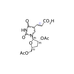 CC(=O)OC[C@@H]1C[C@@H](OC(C)=O)[C@H](n2cc(/C=C/C(=O)O)c(=O)[nH]c2=O)O1